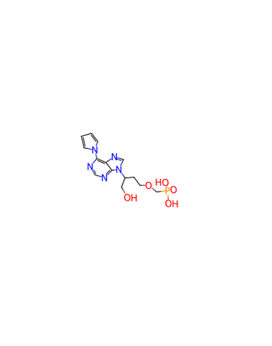 O=P(O)(O)COCCC(CO)n1cnc2c(-n3cccc3)ncnc21